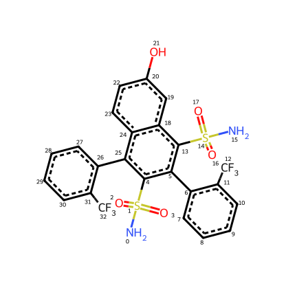 NS(=O)(=O)c1c(-c2ccccc2C(F)(F)F)c(S(N)(=O)=O)c2cc(O)ccc2c1-c1ccccc1C(F)(F)F